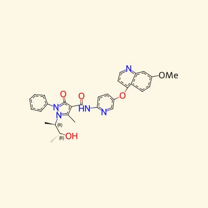 COc1ccc2c(Oc3ccc(NC(=O)c4c(C)n([C@H](C)[C@@H](C)O)n(-c5ccccc5)c4=O)nc3)ccnc2c1